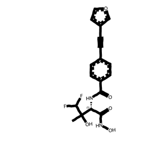 CC(O)(C(F)F)[C@H](NC(=O)c1ccc(C#Cc2ccoc2)cc1)C(=O)NO